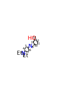 CCN(CC)c1ccc(N=Cc2cccc(O)c2)cc1